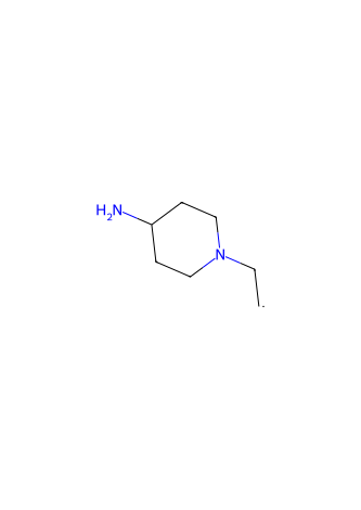 [CH2]CN1CCC(N)CC1